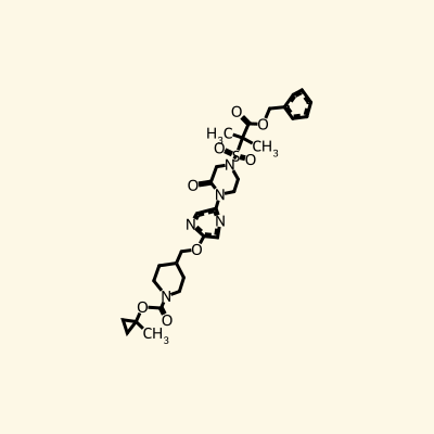 CC1(OC(=O)N2CCC(COc3cnc(N4CCN(S(=O)(=O)C(C)(C)C(=O)OCc5ccccc5)CC4=O)cn3)CC2)CC1